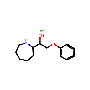 Cl.OC(COc1ccccc1)C1CCCCCN1